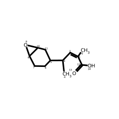 CC(=CC(C)C1CCC2OC2C1)C(=O)O